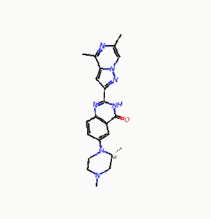 Cc1cn2nc(-c3nc4ccc(N5CCN(C)C[C@H]5C)cc4c(=O)[nH]3)cc2c(C)n1